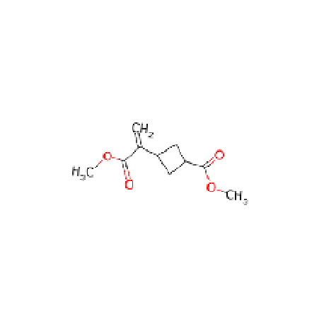 C=C(C(=O)OC)C1CC(C(=O)OC)C1